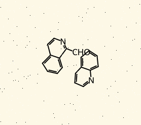 O=Cc1nccc2ccccc12.c1ccc2ncccc2c1